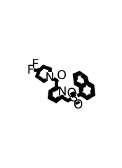 O=C(c1cccc(CS(=O)(=O)c2cccc3ccccc23)n1)N1CCC(F)(F)CC1